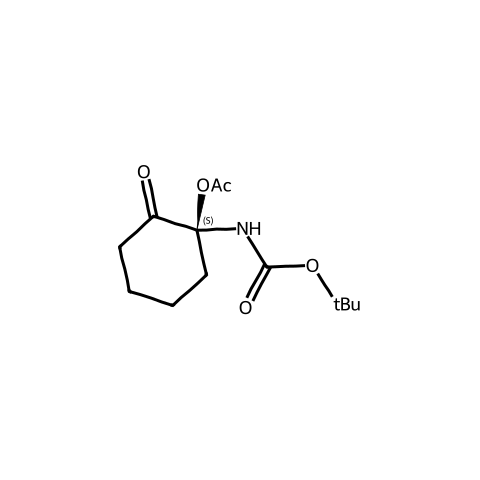 CC(=O)O[C@@]1(NC(=O)OC(C)(C)C)CCCCC1=O